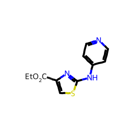 CCOC(=O)c1csc(Nc2ccncc2)n1